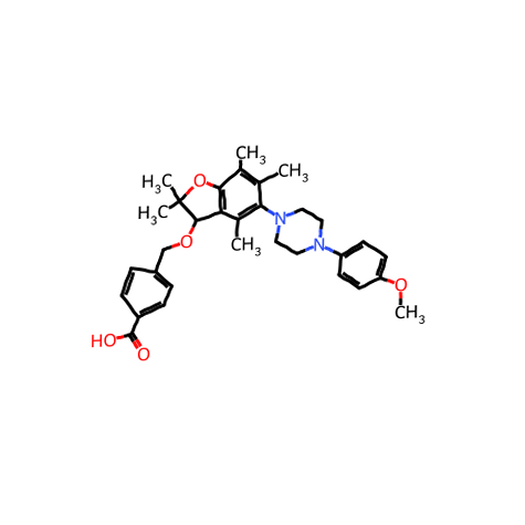 COc1ccc(N2CCN(c3c(C)c(C)c4c(c3C)C(OCc3ccc(C(=O)O)cc3)C(C)(C)O4)CC2)cc1